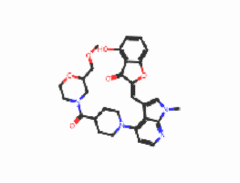 COCC1CN(C(=O)C2CCN(c3ccnc4c3c(C=C3Oc5cccc(O)c5C3=O)cn4C)CC2)CCO1